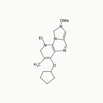 CCN1CC(C)=C(OC2CCCC2)C2=C1N1CN(OC)C=C1C=N2